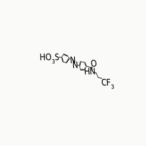 O=C(NCCCC(F)(F)F)c1ccc(/N=N/c2ccc(S(=O)(=O)O)cc2)cc1